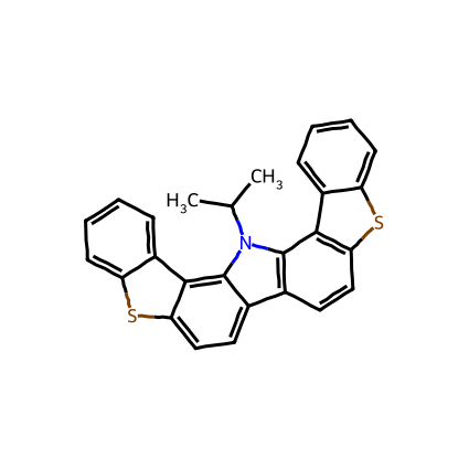 CC(C)n1c2c(ccc3sc4ccccc4c32)c2ccc3sc4ccccc4c3c21